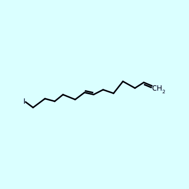 C=CCCCC/C=C/CCCCCI